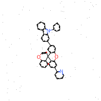 c1ccc(-n2c3ccccc3c3ccc(-c4ccc5c(c4)C4(c6ccccc6Oc6ccccc64)c4ccc(-c6ccccn6)cc4O5)cc32)cc1